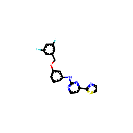 Fc1cc(F)cc(COc2cccc(Nc3nccc(-c4nccs4)n3)c2)c1